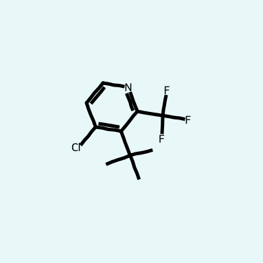 CC(C)(C)c1c(Cl)ccnc1C(F)(F)F